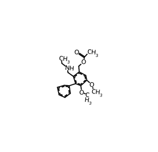 CCNCc1c(COC(C)=O)cc(OC)c(OC)c1-c1ccccc1